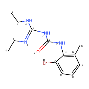 CCN=C(NCC)NC(=O)Nc1c(C)cccc1Br